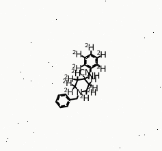 [2H]c1c([2H])c([2H])c(NC2(C#N)C([2H])([2H])C([2H])([2H])N(Cc3ccccc3)C([2H])([2H])C2([2H])[2H])c([2H])c1[2H]